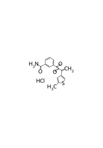 C=C(c1csc(C)c1)S(=O)(=O)c1cccc(C(N)=O)c1.Cl